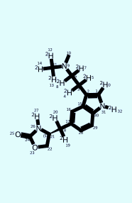 [2H]c1c(C([2H])([2H])C([2H])([2H])N(C)C([2H])([2H])[2H])c2cc(C([2H])([2H])[C@H]3COC(=O)N3[2H])ccc2n1[2H]